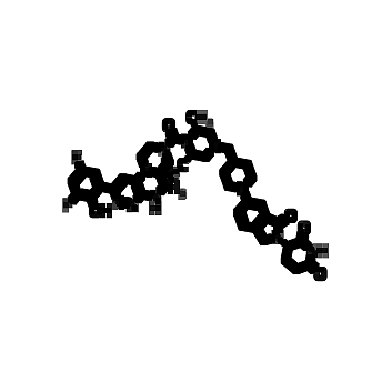 C[C@@H]1CN(CC2CCN(c3ccc4c(c3)C(=O)N([C@H]3CCC(=O)NC3=O)C4)CC2)C[C@H](C)N1C(=O)N1CCN2c3cc(-c4cc(F)cc(F)c4O)nnc3NC[C@]2(C)C1